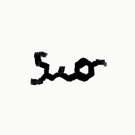 CCCOCC(CNCc1ccc([N+](=O)[O-])cc1)OC